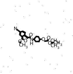 COc1oc(C(=O)NC2CCC(OCC(=O)OC(C)(C)C)CC2)c2ccc(C#N)cc12